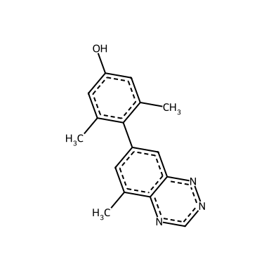 Cc1cc(O)cc(C)c1-c1cc(C)c2ncnnc2c1